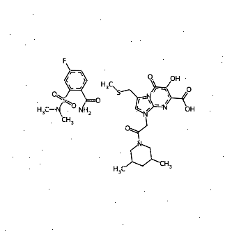 CN(C)S(=O)(=O)c1cc(F)ccc1C(N)=O.CSCc1cn(CC(=O)N2CC(C)CC(C)C2)c2nc(C(=O)O)c(O)c(=O)n12